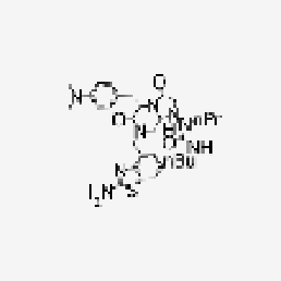 CCCCNC(=O)N(CCC)N1CC(=O)N2[C@@H](Cc3ccc(N(C)C)cc3)C(=O)N(Cc3cccc4sc(N)nc34)C[C@@H]21